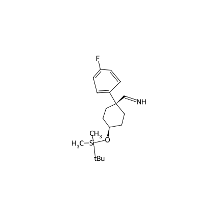 CC(C)(C)[Si](C)(C)O[C@H]1CC[C@](C=N)(c2ccc(F)cc2)CC1